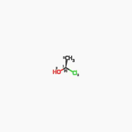 C[C@H](O)Cl